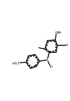 CCN(c1ccc(C(=O)O)cc1)c1cc(C(C)C)c(OCC(C)C)cc1C